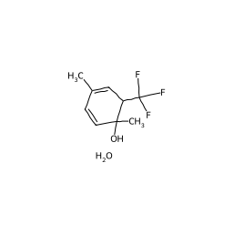 CC1=CC(C(F)(F)F)C(C)(O)C=C1.O